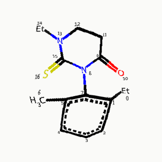 CCc1cccc(C)c1N1C(=O)CCN(CC)C1=S